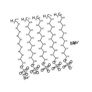 CCCCCCCCCCCCOS(=O)(=O)O.CCCCCCCCCCCCOS(=O)(=O)O.CCCCCCCCCCCCOS(=O)(=O)[O-].CCCCCCCCCCCCOS(=O)(=O)[O-].CCCCCCCCCCCCOS(=O)(=O)[O-].[Na+].[Na+].[Na+]